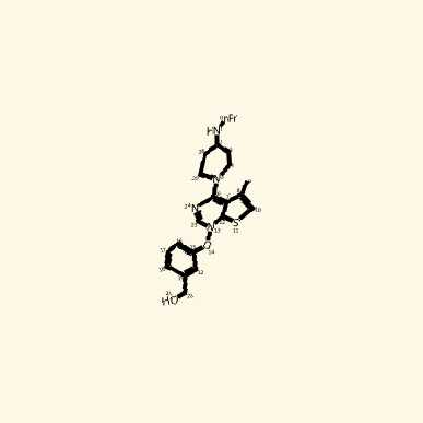 CCCNC1CCN(C2=C3C(C)=CSC3N(Oc3cccc(CO)c3)C=N2)CC1